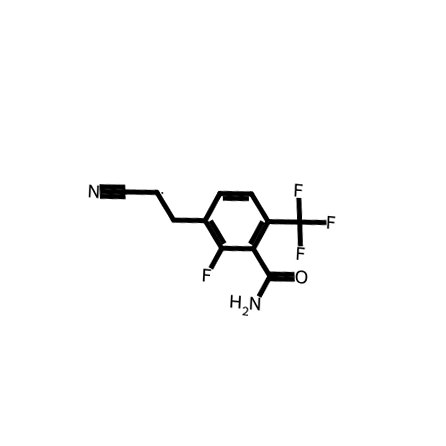 N#C[CH]Cc1ccc(C(F)(F)F)c(C(N)=O)c1F